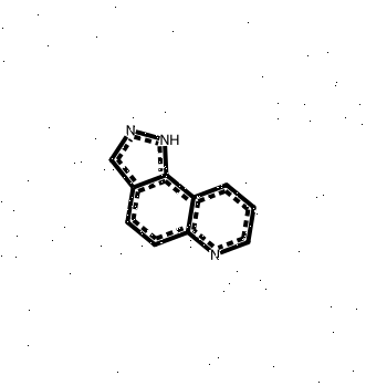 c1cnc2ccc3cn[nH]c3c2c1